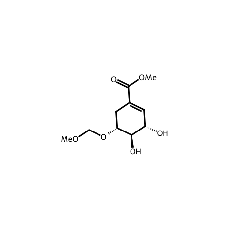 COCO[C@@H]1CC(C(=O)OC)=C[C@H](O)[C@H]1O